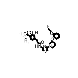 CC(C)(C(=O)O)c1ccc(CCC(=O)Nc2cncc(N3CCC[C@@H](Oc4ccccc4OCCF)C3)n2)cc1